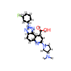 CN(C)[C@H]1CCN(c2cc(C(=O)O)c3c(ccc4nn(-c5cccc(F)c5)nc43)n2)C1